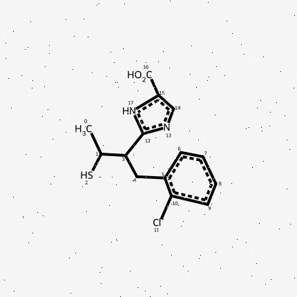 CC(S)C(Cc1ccccc1Cl)c1ncc(C(=O)O)[nH]1